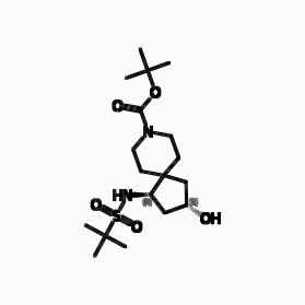 CC(C)(C)OC(=O)N1CCC2(CC1)C[C@H](O)C[C@H]2NS(=O)(=O)C(C)(C)C